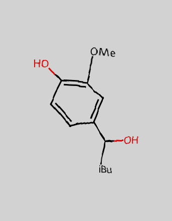 CCC(C)C(O)c1ccc(O)c(OC)c1